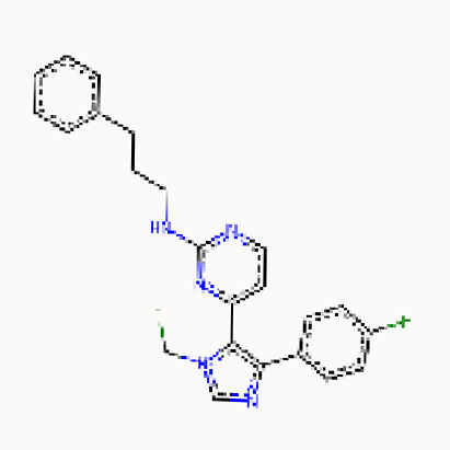 FCn1cnc(-c2ccc(F)cc2)c1-c1ccnc(NCCCc2ccccc2)n1